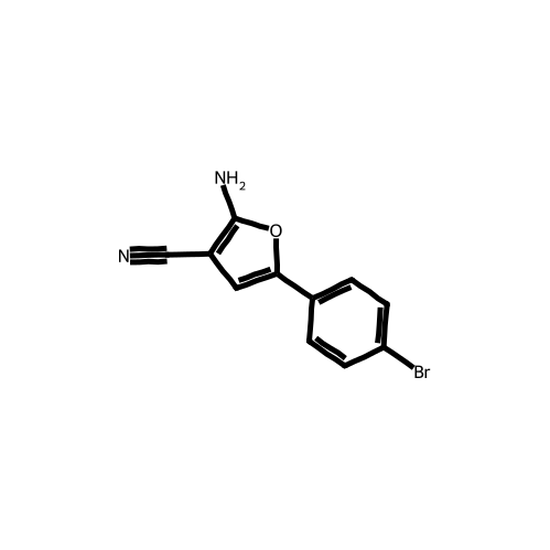 N#Cc1cc(-c2ccc(Br)cc2)oc1N